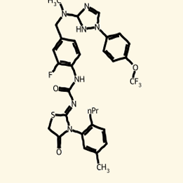 CCCc1ccc(C)cc1N1C(=O)CS/C1=N\C(=O)Nc1ccc(CN(C)C2N=CN(c3ccc(OC(F)(F)F)cc3)N2)cc1F